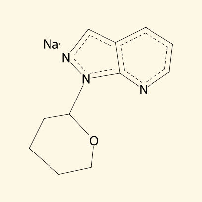 [Na].c1cnc2c(c1)cnn2C1CCCCO1